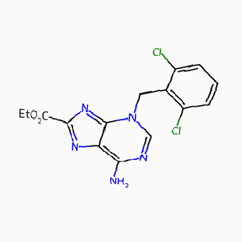 CCOC(=O)c1nc2c(N)ncn(Cc3c(Cl)cccc3Cl)c-2n1